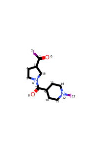 O=C(I)C1CCN(C(=O)C2CCN(I)CC2)C1